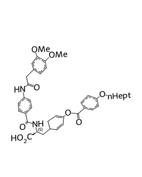 CCCCCCCOc1ccc(C(=O)OC2=CCC(C[C@H](NC(=O)c3ccc(NC(=O)Cc4ccc(OC)c(OC)c4)cc3)C(=O)O)C=C2)cc1